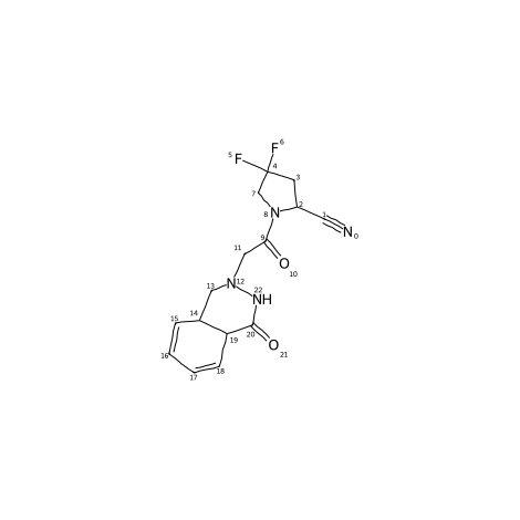 N#CC1CC(F)(F)CN1C(=O)CN1CC2C=CC=CC2C(=O)N1